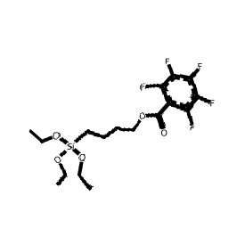 CCO[Si](CCCCOC(=O)c1c(F)c(F)c(F)c(F)c1F)(OCC)OCC